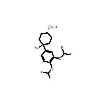 N#C[C@]1(c2ccc(OC(F)F)c(OC(F)F)c2)CC[C@@H](C(=O)O)CC1